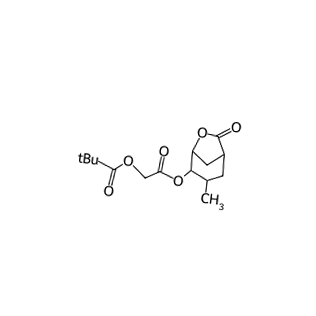 CC1CC2CC(OC2=O)C1OC(=O)COC(=O)C(C)(C)C